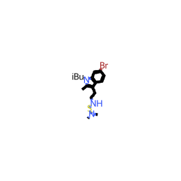 CCC(C)n1c(C)c(CCNSN(C)C)c2ccc(Br)cc21